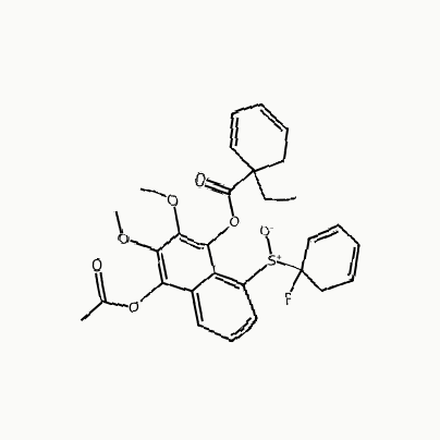 CCC1(C(=O)Oc2c(OC)c(OC)c(OC(C)=O)c3cccc([S+]([O-])C4(F)C=CC=CC4)c23)C=CC=CC1